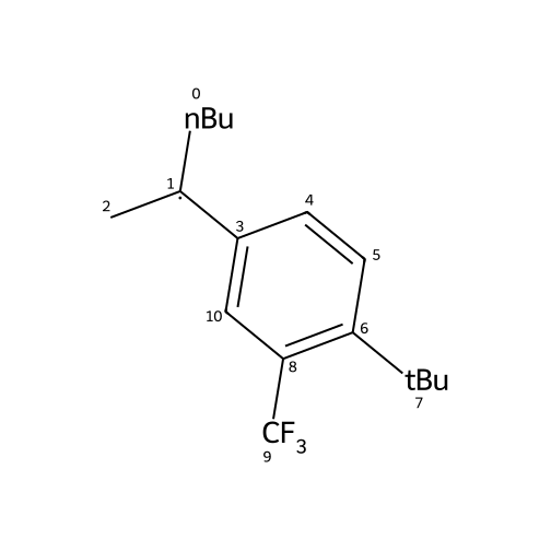 CCCC[C](C)c1ccc(C(C)(C)C)c(C(F)(F)F)c1